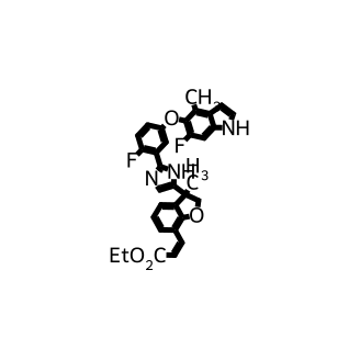 CCOC(=O)/C=C\c1cccc2c1OCC2(C)c1cnc(-c2cc(Oc3c(F)cc4[nH]ccc4c3C)ccc2F)[nH]1